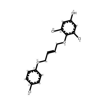 Oc1cc(Cl)c(OC/C=C/COc2ccc(Cl)cc2)c(Cl)c1